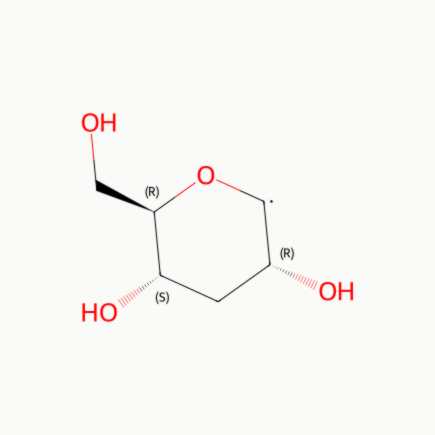 OC[C@H]1O[CH][C@H](O)C[C@@H]1O